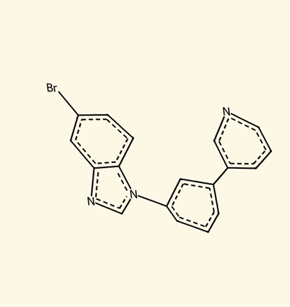 Brc1ccc2c(c1)ncn2-c1cccc(-c2cccnc2)c1